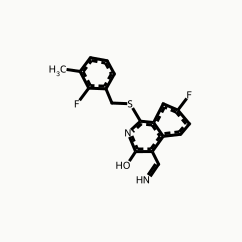 Cc1cccc(CSc2nc(O)c(C=N)c3ccc(F)cc23)c1F